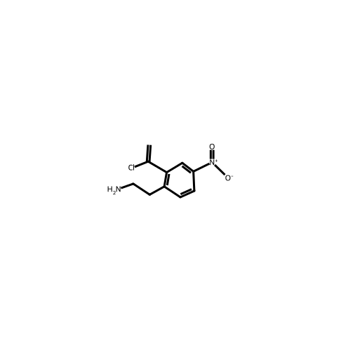 C=C(Cl)c1cc([N+](=O)[O-])ccc1CCN